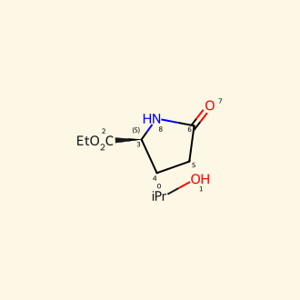 CC(C)O.CCOC(=O)[C@@H]1CCC(=O)N1